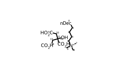 CCCCCCCCCCCCCC[N+](C)(C)C.O=C(O)CC(O)(CC(=O)O)C(=O)O